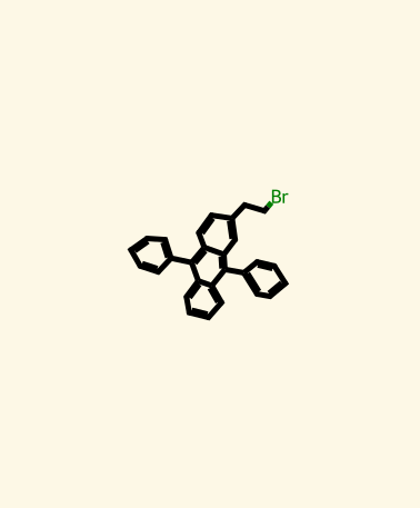 BrCCc1ccc2c(-c3ccccc3)c3ccccc3c(-c3ccccc3)c2c1